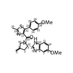 C=C1C[C@@H](c2nc3cc(OC)ccc3[nH]2)N(C(=O)c2nc(C)sc2-c2ccc(OC)cc2)C1